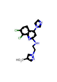 O=C(O)c1cnn(CCNc2cc(-n3ccnc3)c3ccc(Cl)c(Cl)c3n2)c1